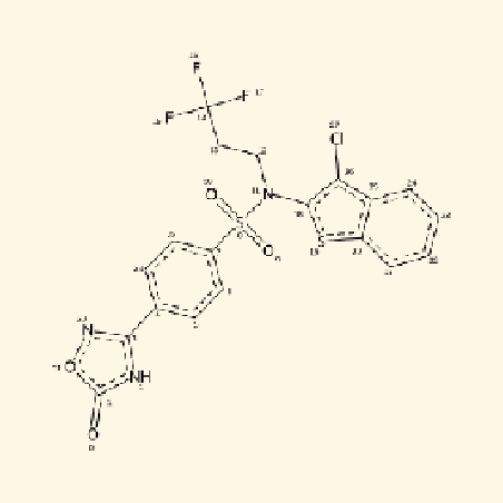 O=c1[nH]c(-c2ccc(S(=O)(=O)N(CCC(F)(F)F)c3sc4ccccc4c3Cl)cc2)no1